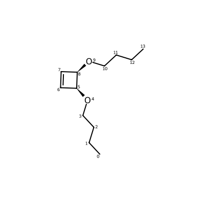 CCCCO[C@H]1C=C[C@H]1OCCCC